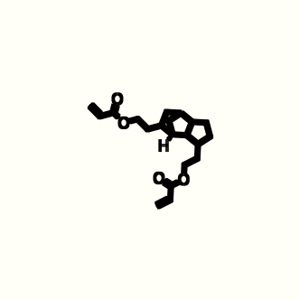 C=CC(=O)OCCC1CCC2C3CC(CCOC(=O)C=C)[C@H](C3)C12